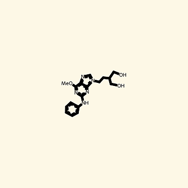 COc1nc(Nc2ccccc2)nc2c1ncn2CCC(CO)CO